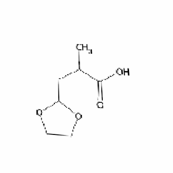 CC(CC1OCCO1)C(=O)O